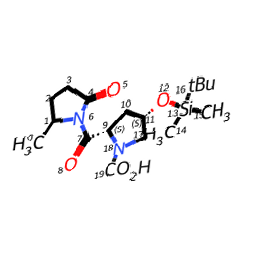 CC1CCC(=O)N1C(=O)[C@@H]1C[C@H](O[Si](C)(C)C(C)(C)C)CN1C(=O)O